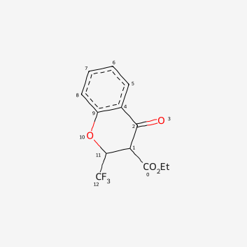 CCOC(=O)C1C(=O)c2ccccc2OC1C(F)(F)F